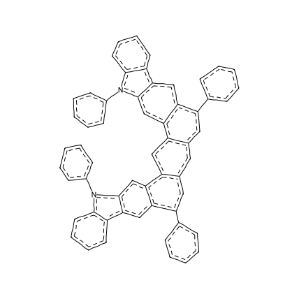 c1ccc(-c2cc3cc4cc(-c5ccccc5)c5cc6c7ccccc7n(-c7ccccc7)c6cc5c4cc3c3cc4c(cc23)c2ccccc2n4-c2ccccc2)cc1